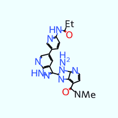 CCC(=O)Nc1ccc(-c2cnc3[nH]nc(-c4nc5c(C(=O)NC)ccnc5n4N)c3c2)cn1